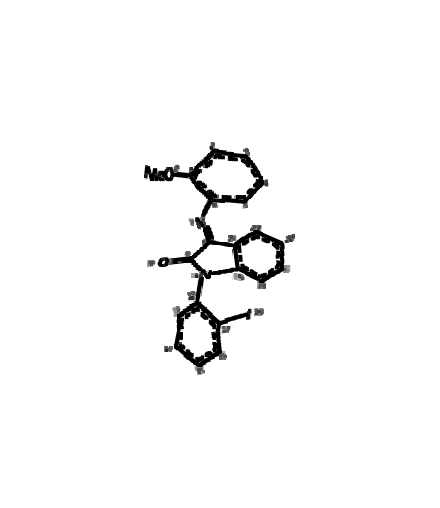 COc1ccccc1N=C1C(=O)N(c2ccccc2I)c2ccccc21